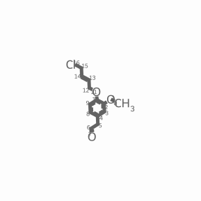 COc1cc(CC=O)ccc1OCC=CCCl